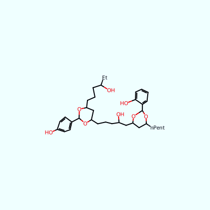 CCCCCC1CC(CC(O)CCCC2CC(CCCC(O)CC)OC(c3ccc(O)cc3)O2)OC(c2ccccc2O)O1